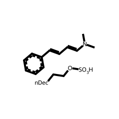 CCCCCCCCCCCCOS(=O)(=O)O.CN(C)C=CC=Cc1ccccc1